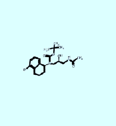 CC(=O)NC[C@H](O)CN(C(=O)OC(C)(C)C)[C@H]1CCCc2c(Br)cccc21